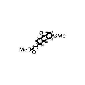 COC(=O)CCc1ccc2c(=O)c3ccc(OC)cc3sc2c1